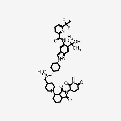 CN(CC1CCN(C2CCCC3C(=O)N(C4CCC(=O)NC4=O)C(=O)C32)CC1)C[C@H]1CC[C@H](n2cc3cc(NC(=O)c4cccc(C(F)(F)F)n4)c(C(C)(C)O)cc3n2)CC1